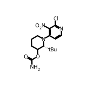 CC(C)(C)[C@@H]1C(OC(N)=O)CCCN1c1ccnc(Cl)c1[N+](=O)[O-]